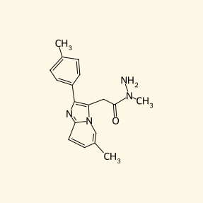 Cc1ccc(-c2nc3ccc(C)cn3c2CC(=O)N(C)N)cc1